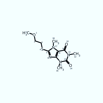 COCCSc1nc2c(c(=O)n(C)c(=O)n2C)n1C